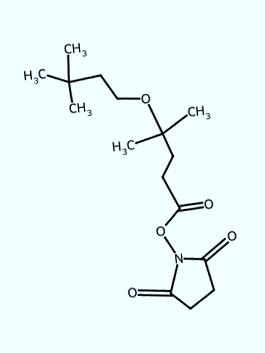 CC(C)(C)CCOC(C)(C)CCC(=O)ON1C(=O)CCC1=O